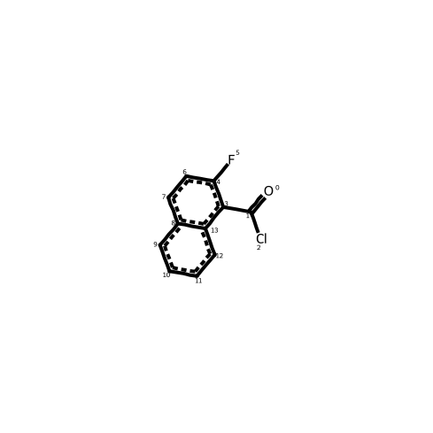 O=C(Cl)c1c(F)ccc2ccccc12